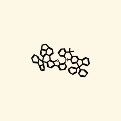 CC1(C)c2ccccc2N(c2cccc3c2sc2c4c(ccc23)C2(c3ccccc3-c3ccccc32)c2ccc3c5c(ccc-4c25)CC3)c2cc3c(cc21)-c1ccccc1C3(c1ccccc1)c1ccccc1